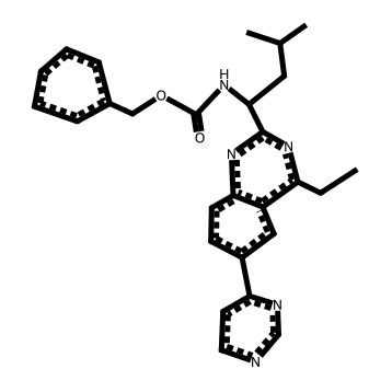 CCc1nc(C(CC(C)C)NC(=O)OCc2ccccc2)nc2ccc(-c3ccncn3)cc12